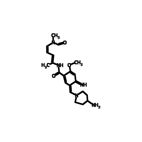 COC1=CC(=N)/C(=C\N2CCC(N)CC2)C=C1C(=O)N/C(C)=C/C=C\N(C)C=O